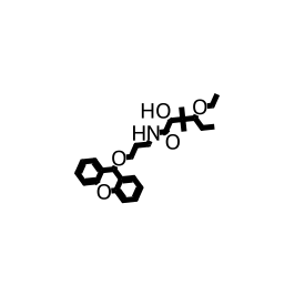 CCOC(CC)C(C)(C)C(O)C(=O)NCCCOC1c2ccccc2Oc2ccccc21